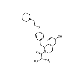 CC(C)C(=O)N1CCc2cc(O)ccc2C1Cc1ccc(OCCN2CCCCC2)cc1